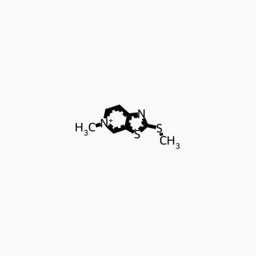 CSc1nc2cc[n+](C)cc2s1